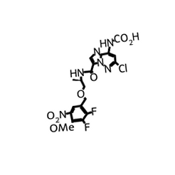 COc1c([N+](=O)[O-])cc(COC[C@@H](C)NC(=O)c2cnc3c(NC(=O)O)cc(Cl)nn23)c(F)c1F